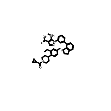 CCc1cc(C[C@H]2CCc3cccc(-c4cccc(-n5ncc(C(=O)O)c5NC)c4)c32)ccc1C1CCN(C(=O)C2CC2)CC1